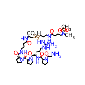 CN(CCCC(=O)NCCCSSC[C@H](NC(=O)CCCNC(=O)[C@@H]1CCCN1C(=O)[C@@H]1CCCN1C(=O)[C@H](CCCNC(=N)N)NC(=O)C1CCCN1C(=O)CN)C(=O)O)S(C)(=O)=O